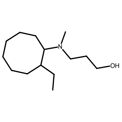 CCC1CCCCCCC1N(C)CCCO